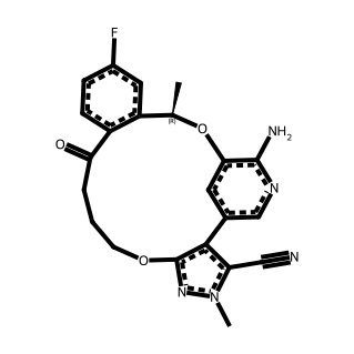 C[C@H]1Oc2cc(cnc2N)-c2c(nn(C)c2C#N)OCCCC(=O)c2ccc(F)cc21